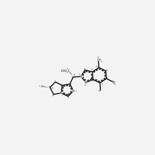 CCOC(=O)[C@@H](c1ncn2c1C[C@@H](F)C2)n1cc2c(C(F)(F)F)cc(Br)c(C)c2n1